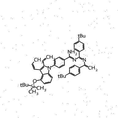 C=Cc1c(/C=C\C)c2c(O[Si](C)(C)C(C)(C)C)cccc2n1-c1ccc(/C(N)=N/C(=N\C(=C)c2ccc(C(C)(C)C)cc2)c2ccc(C(C)(C)C)cc2)cc1